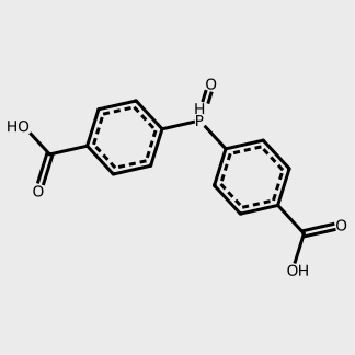 O=C(O)c1ccc([PH](=O)c2ccc(C(=O)O)cc2)cc1